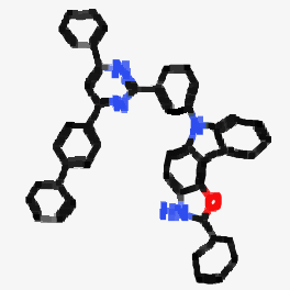 C1=CCC(C2Nc3ccc4c(c3O2)c2ccccc2n4-c2cccc(-c3nc(-c4ccccc4)cc(-c4ccc(-c5ccccc5)cc4)n3)c2)CC1